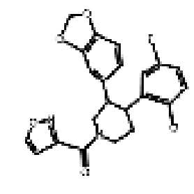 O=C(c1ccon1)N1CCC(c2cc(F)ccc2Cl)C(c2ccc3c(c2)OCO3)C1